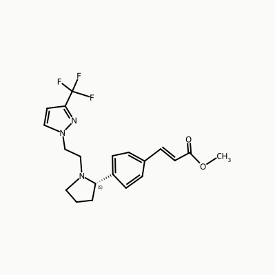 COC(=O)C=Cc1ccc([C@@H]2CCCN2CCn2ccc(C(F)(F)F)n2)cc1